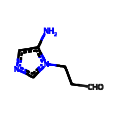 Nc1cncn1CCC=O